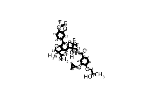 C[C@@H](O)COc1ccc(C(=O)NCC(O)(c2cc3c(c(-c4ccc5c(c4)OC(F)(F)O5)n2)OC[C@]3(C)C(N)=O)C(F)(F)F)cc1OC1CC1